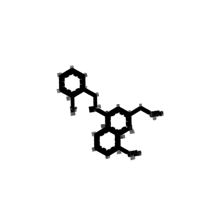 COCc1cc(NCc2ccccc2Br)c2cccc(OC)c2n1